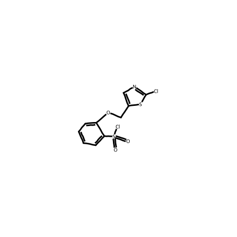 O=S(=O)(Cl)c1ccccc1OCc1cnc(Cl)s1